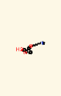 Oc1ccc2c(c1)OC[C@H](c1ccccc1)C2c1ccc(OCCCCCCCCN2CCCC2)cc1